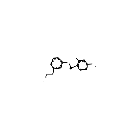 CCOC(=O)CCc1cccc(NC(=O)c2ccc(OC(F)(F)F)cc2N)c1